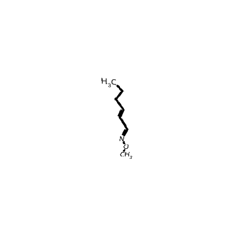 CCCC=CC=NOC